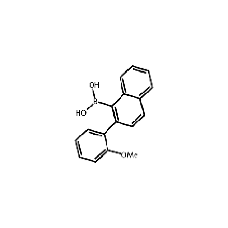 COc1ccccc1-c1ccc2ccccc2c1B(O)O